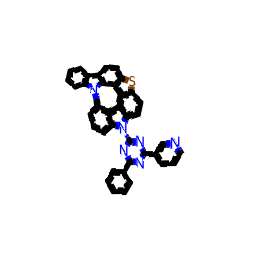 c1ccc(-c2nc(-c3cccnc3)nc(-n3c4ccc5sc6ccc7c8ccccc8n8c9cccc3c9c4c5c6c78)n2)cc1